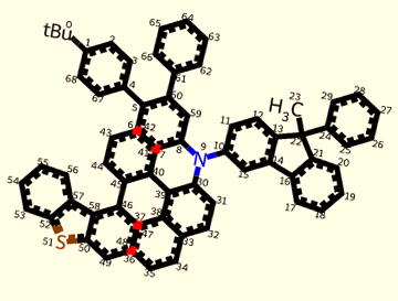 CC(C)(C)c1ccc(-c2ccc(N(c3ccc4c(c3)-c3ccccc3C4(C)c3ccccc3)c3ccc4ccccc4c3-c3ccccc3-c3cccc4sc5ccccc5c34)cc2-c2ccccc2)cc1